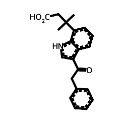 CC(C)(CC(=O)O)c1cccc2c(C(=O)Cc3ccccc3)c[nH]c12